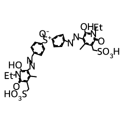 CCn1c(O)c(/N=N/c2ccc([S+]([O-])c3ccc(/N=N/c4c(C)c(CS(=O)(=O)O)c(=O)n(CC)c4O)cc3)cc2)c(C)c(CS(=O)(=O)O)c1=O